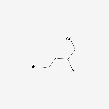 CC(=O)CC(CCC(C)C)C(C)=O